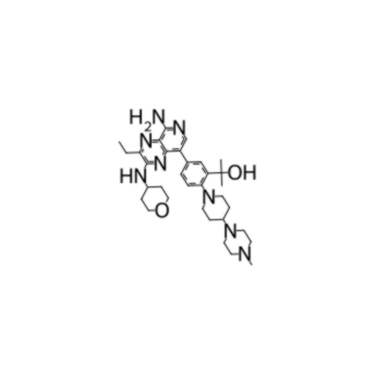 CCc1nc2c(N)ncc(-c3ccc(N4CCC(N5CCN(C)CC5)CC4)c(C(C)(C)O)c3)c2nc1NC1CCOCC1